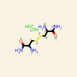 Cl.Cl.NC(=O)C(N)CSSCC(N)C(N)=O